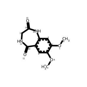 COc1cc2c(cc1OC)C(=O)NCC(=O)N2